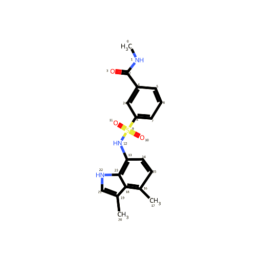 CNC(=O)c1cccc(S(=O)(=O)Nc2ccc(C)c3c(C)c[nH]c23)c1